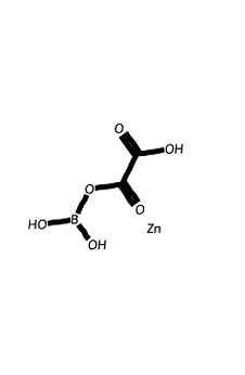 O=C(O)C(=O)OB(O)O.[Zn]